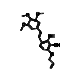 C=CCOc1ccc(C=Cc2cc(OC)c(OC)c(OC)c2)c(O)c1O